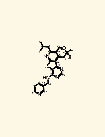 CC(C)Cc1nc2sc3c(NCc4cccnc4)ncnc3c2c2c1COC(C)(C)C2